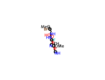 COc1ccc(CCNC(O)C(=O)Nc2ccc(OC3C=CN=C4C=C(OCC5CCNCC5)C(OC)C(C)C43)c(F)c2)cc1Br